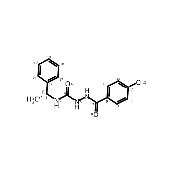 C[C@@H](NC(=O)NNC(=O)c1ccc(Cl)cc1)c1ccccc1